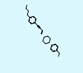 CCCCc1ccc(C#CC=C[C@H]2CC[C@H](c3ccc(CC)cc3)CC2)cc1